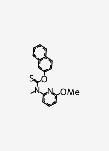 COc1cccc(N(C)C(=S)Oc2ccc3ccccc3c2)n1